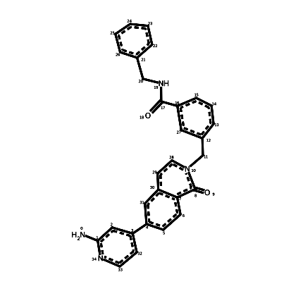 Nc1cc(-c2ccc3c(=O)n(Cc4cccc(C(=O)NCc5ccccc5)c4)ccc3c2)ccn1